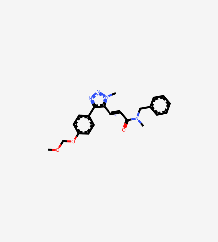 COCOc1ccc(-c2nnn(C)c2/C=C/C(=O)N(C)Cc2ccccc2)cc1